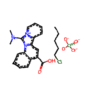 CCCCCCl.CN(C)c1n2c3ccccc3c(C(=O)O)cc2c2cccc[n+]12.[O-][Cl+3]([O-])([O-])[O-]